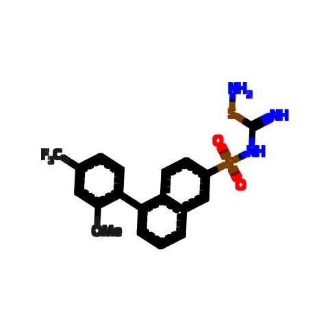 COc1cc(C(F)(F)F)ccc1-c1cccc2cc(S(=O)(=O)NC(=N)SN)ccc12